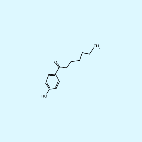 CCCCCCC(=O)c1ccc(O)cc1